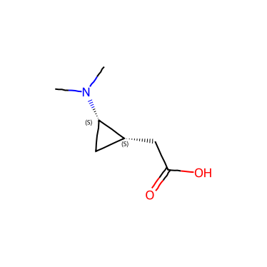 CN(C)[C@H]1C[C@H]1CC(=O)O